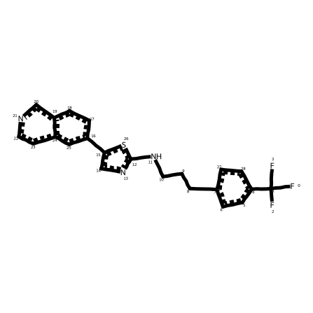 FC(F)(F)c1ccc(CCCNc2ncc(-c3ccc4cnccc4c3)s2)cc1